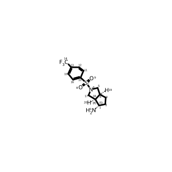 N[C@H]1CC[C@@H]2CN(S(=O)(=O)c3ccc(C(F)(F)F)cc3)C[C@@H]21